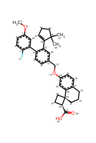 COc1ccc(F)c(-c2ccc(COc3ccc4c(c3)[C@@]3(CCC4)CC[C@@H]3C(=O)O)cc2C2=CCCC2(C)C)c1